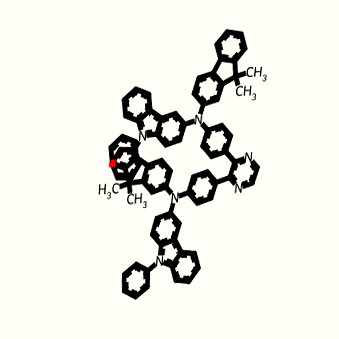 CC1(C)c2ccccc2-c2ccc(N(c3ccc(-c4nccnc4-c4ccc(N(c5ccc6c(c5)C(C)(C)c5ccccc5-6)c5ccc6c(c5)c5ccccc5n6-c5ccccc5)cc4)cc3)c3ccc4c(c3)c3ccccc3n4-c3ccccc3)cc21